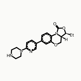 CC[C@@H]1OC(=O)N2c3ccc(-c4ccc(N5CCNCC5)nc4)cc3OC[C@@H]12